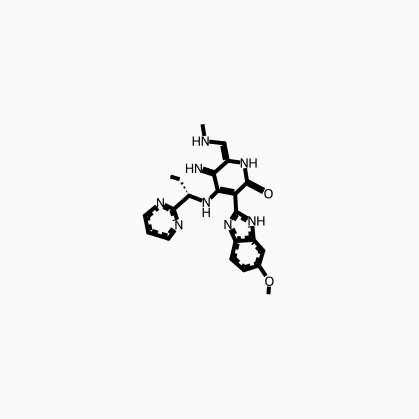 CC[C@H](NC1=C(c2nc3ccc(OC)cc3[nH]2)C(=O)N/C(=C/NC)C1=N)c1ncccn1